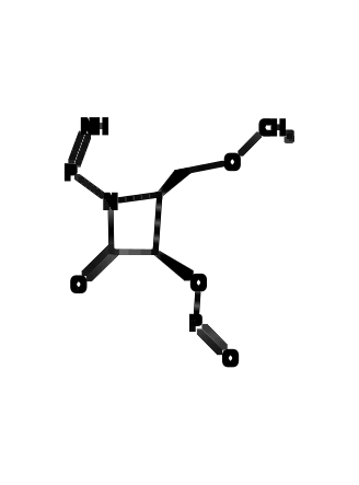 COC[C@H]1[C@@H](OP=O)C(=O)N1P=N